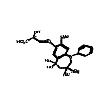 CCCCC1(CCCC)CN(c2ccccc2)c2cc(SC)c(OC[C@H](O)C(=O)O)cc2S(O)(O)C1